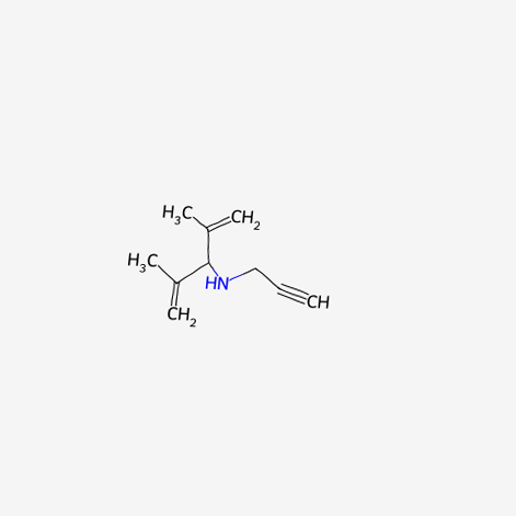 C#CCNC(C(=C)C)C(=C)C